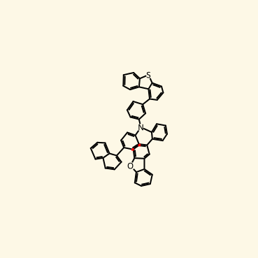 c1cc(-c2cccc3sc4ccccc4c23)cc(N(c2ccc(-c3cccc4ccccc34)cc2)c2ccccc2-c2ccc3oc4ccccc4c3c2)c1